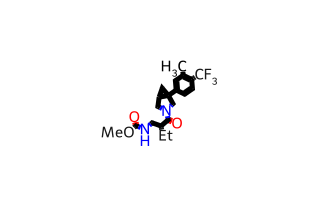 CCC(CNC(=O)OC)C(=O)N1CC2CC2(c2ccc(C(F)(F)F)c(C)c2)C1